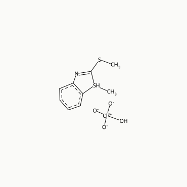 CSC1=Nc2ccccc2[SH]1C.[O-][Cl+3]([O-])([O-])O